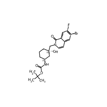 CC(C)(C)OC(=O)N[C@H]1CCC[C@@](O)(Cn2ccc3cc(Br)c(F)cc3c2=O)C1